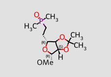 CO[C@@H]1O[C@H](CCP(C)(C)=O)C2OC(C)(C)O[C@@H]21